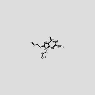 C=CCSc1nc2c(n1CCO)N=C(N)NC2=C